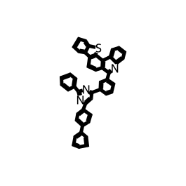 c1ccc(-c2ccc(-c3cc(-c4cccc(-c5nc6ccccc6c6c5ccc5c7ccccc7sc56)c4)nc(-c4ccccc4)n3)cc2)cc1